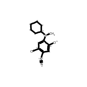 CN(c1cc(Cl)c([N+]#N)cc1Cl)C1CCCCC1